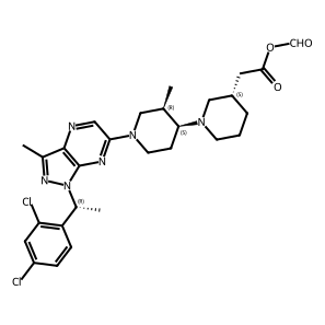 Cc1nn([C@H](C)c2ccc(Cl)cc2Cl)c2nc(N3CC[C@H](N4CCC[C@@H](CC(=O)OC=O)C4)[C@H](C)C3)cnc12